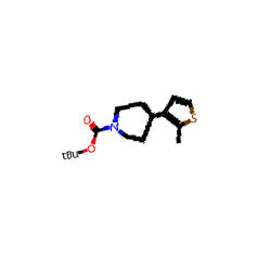 Cc1sccc1C1CCN(C(=O)OC(C)(C)C)CC1